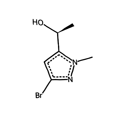 C[C@H](O)c1cc(Br)nn1C